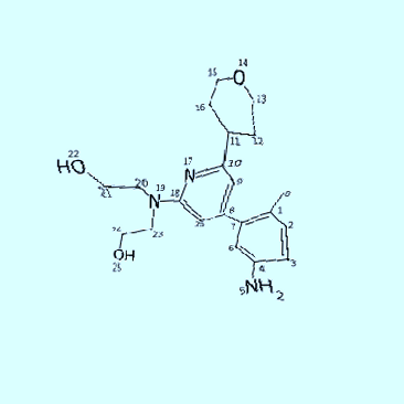 Cc1ccc(N)cc1-c1cc(C2CCOCC2)nc(N(CCO)CCO)c1